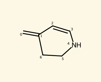 C=C1C=CNCC1